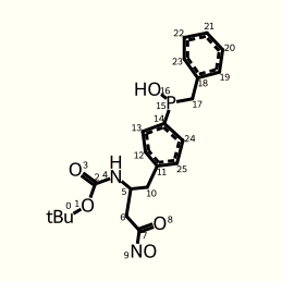 CC(C)(C)OC(=O)NC(CC(=O)N=O)Cc1ccc(P(O)Cc2ccccc2)cc1